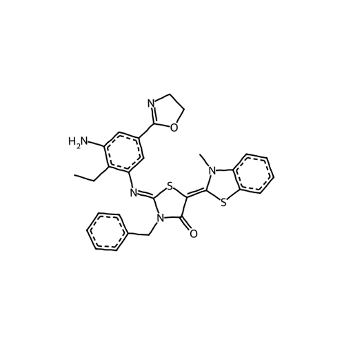 CCc1c(N)cc(C2=NCCO2)cc1N=C1SC(=C2Sc3ccccc3N2C)C(=O)N1Cc1ccccc1